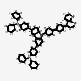 c1ccc(N(c2ccccc2)c2ccc(-c3ccc4c(c3)c3cc(-c5ccc(N(c6ccccc6)c6ccccc6)cc5)ccc3n4-c3ccc(-c4ccc(-c5ccnc6ncccc56)cc4)cc3)cc2)cc1